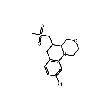 CS(=O)(=O)CC1Cc2ccc(Cl)cc2N2CCOCC12